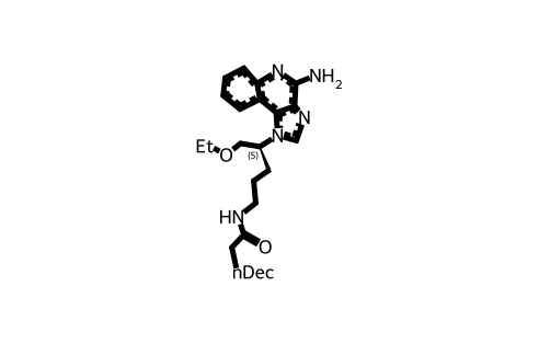 CCCCCCCCCCCC(=O)NCCC[C@@H](COCC)n1cnc2c(N)nc3ccccc3c21